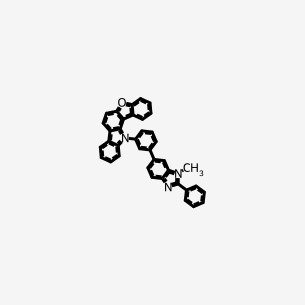 Cn1c(-c2ccccc2)nc2ccc(-c3cccc(-n4c5ccccc5c5ccc6oc7ccccc7c6c54)c3)cc21